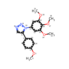 COc1[c]cc(-c2cnnn2-c2cc(OC)c(OC)c(OC)c2)cc1